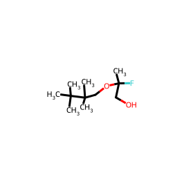 CC(F)(CO)OCC(C)(C)C(C)(C)C